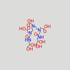 O=C(O)CN(CCN(CC(=O)O)CC(=O)NCC(O)CO)CCN(CC(=O)O)CC(=O)NCC(O)CO